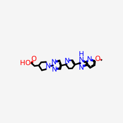 COc1ccc2nc(C3=CN=C(c4cnc(N5CCC(CC(=O)O)CC5)nc4)CC3)[nH]c2n1